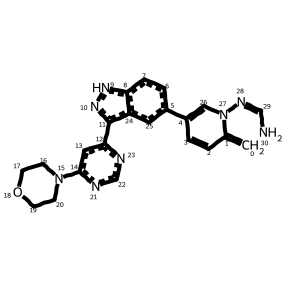 C=C1C=CC(c2ccc3[nH]nc(-c4cc(N5CCOCC5)ncn4)c3c2)=CN1/N=C\N